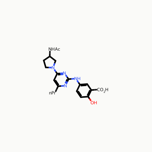 CCCc1cc(N2CCC(NC(C)=O)C2)nc(Nc2ccc(O)c(C(=O)O)c2)n1